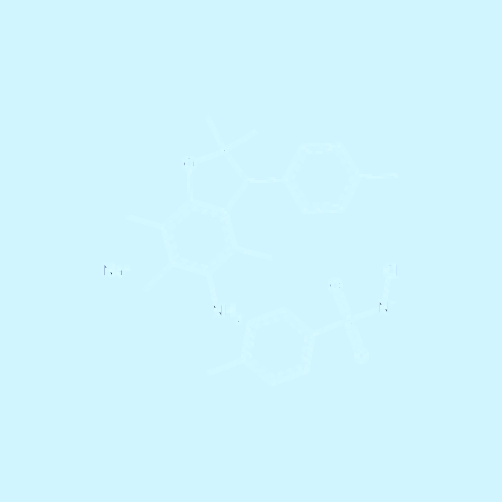 Cc1ccc(C2c3c(C)c(N)c(C)c(C)c3OC2(C)C)cc1.Cc1ccc(S(=O)(=O)[N-]Cl)cc1.[Na+]